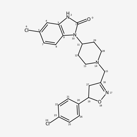 O=c1[nH]c2cc(Cl)ccc2n1C1CCN(CC2=NOC(c3ccc(Cl)cc3)C2)CC1